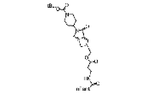 CCCCCC(=O)NCCC(=O)OCN1C=C2C(=O)N(C3CCN(C(=O)OC(C)(C)C)CC3)CN2C1